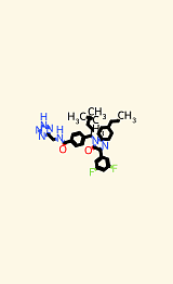 CCCC1CCC2(CC1)N=C(c1cc(F)cc(F)c1)C(=O)N2[C@H](CCC(C)(C)C)c1ccc(C(=O)NCc2nn[nH]n2)cc1